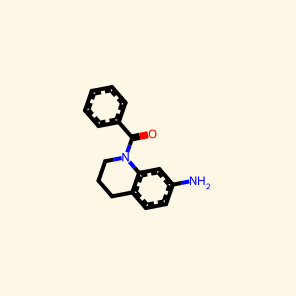 Nc1ccc2c(c1)N(C(=O)c1ccccc1)CCC2